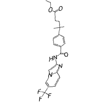 CCOC(=O)CCC(C)(C)c1ccc(C(=O)Nc2cn3cc(C(F)(F)F)ccc3n2)cc1